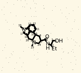 CCC(CO)NC(=O)C1CC2c3cccc4c3c(cn4C)CC2N(C)C1